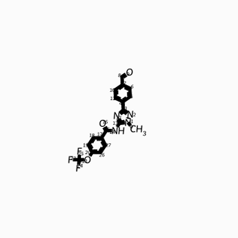 Cn1nc(-c2ccc(C=O)cc2)nc1NC(=O)c1ccc(OC(F)(F)F)cc1